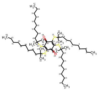 CCCCCCCCCC(C)(C)SC1=C(SC(C)(C)CCCCCCCCC)C(=O)C(SC(C)(C)CCCCCCCCC)=C(SC(C)(C)CCCCCCCCC)C1=O